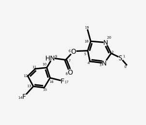 CSc1ncc(OC(=O)Nc2ccc(F)cc2F)c(C)n1